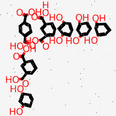 O=C(O)c1ccc(C(=O)O)cc1.O=C(O)c1cccc(C(=O)O)c1.O=C(O)c1cccc(C(=O)O)c1.Oc1cccc(O)c1.Oc1cccc(O)c1.Oc1cccc(O)c1.Oc1cccc(O)c1